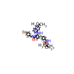 CC(C)c1ccc2c(Nc3cc(C(=O)NCc4ccc(Br)cc4)ccc3Sc3ccc(NC(=O)OC(C)(C)C)cc3)ncnc2n1